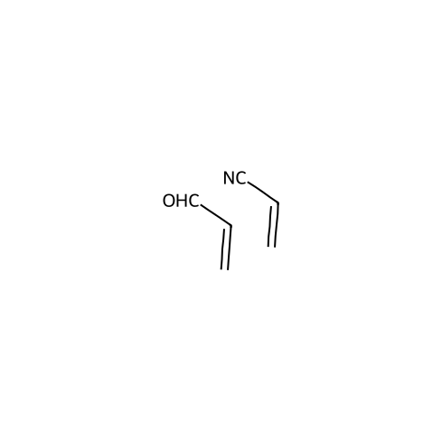 C=CC#N.C=CC=O